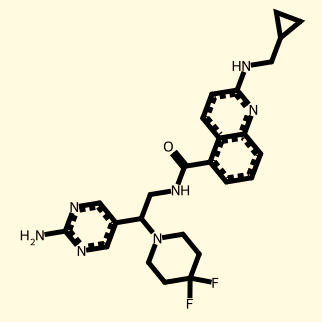 Nc1ncc(C(CNC(=O)c2cccc3nc(NCC4CC4)ccc23)N2CCC(F)(F)CC2)cn1